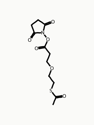 CC(=O)SCCOCCC(=O)ON1C(=O)CCC1=O